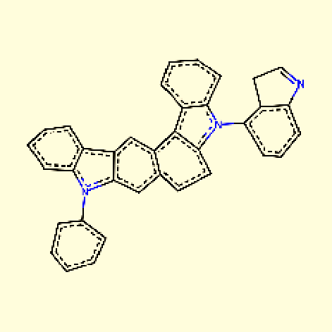 C1=Nc2cccc(-n3c4ccccc4c4c5cc6c7ccccc7n(-c7ccccc7)c6cc5ccc43)c2C1